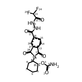 NC(=O)O[C@@H]1CCCC[C@H]1N1C(=O)c2ccc(C(=O)NNC(=O)C(F)F)cc2C1=O